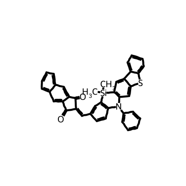 C[Si]1(C)c2cc(C=C3C(=O)c4cc5ccccc5cc4C3=O)ccc2N(c2ccccc2)c2cc3sc4ccccc4c3cc21